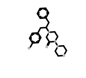 O=C1CN(C(Cc2ccccc2)Cc2ccc(Cl)cc2)CCN1N1CCOCC1